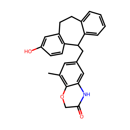 Cc1cc(CC2c3ccccc3CCc3cc(O)ccc32)cc2c1OCC(=O)N2